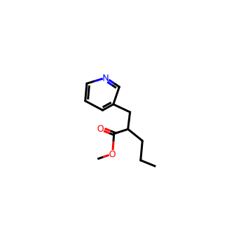 CCCC(Cc1cccnc1)C(=O)OC